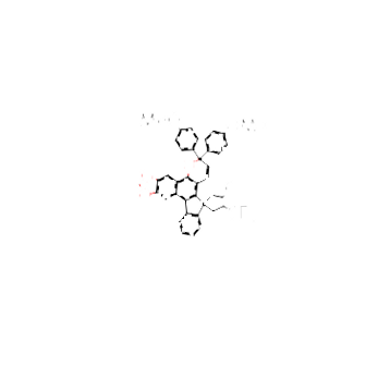 COc1ccc(C2(c3ccc(OC)cc3)C=Cc3c4c(c5cc6c(cc5c3O2)OCO6)-c2ccccc2C4(CCC(F)(F)F)CCC(F)(F)F)cc1